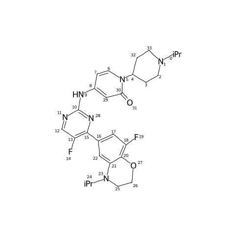 CC(C)N1CCC(n2ccc(Nc3ncc(F)c(-c4cc(F)c5c(c4)N(C(C)C)CCO5)n3)cc2=O)CC1